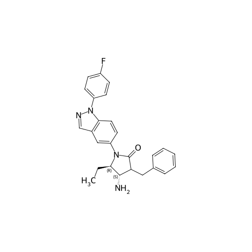 CC[C@@H]1[C@@H](N)C(Cc2ccccc2)C(=O)N1c1ccc2c(cnn2-c2ccc(F)cc2)c1